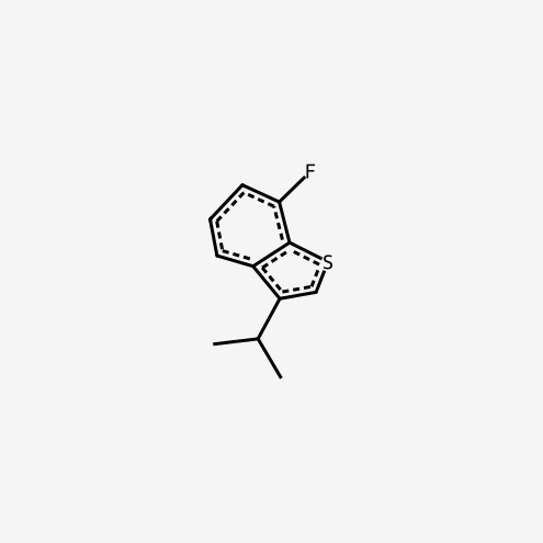 CC(C)c1csc2c(F)cccc12